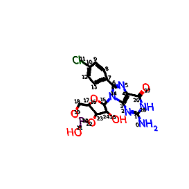 Nc1nc2c(nc(-c3ccc(Cl)cc3)n2C2OC3COP(O)OC3C2O)c(=O)[nH]1